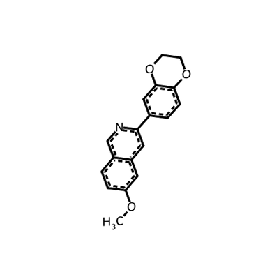 COc1ccc2cnc(-c3ccc4c(c3)OCCO4)cc2c1